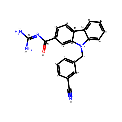 N#Cc1cccc(Cn2c3ccccc3c3ccc(C(=O)N=C(N)N)cc32)c1